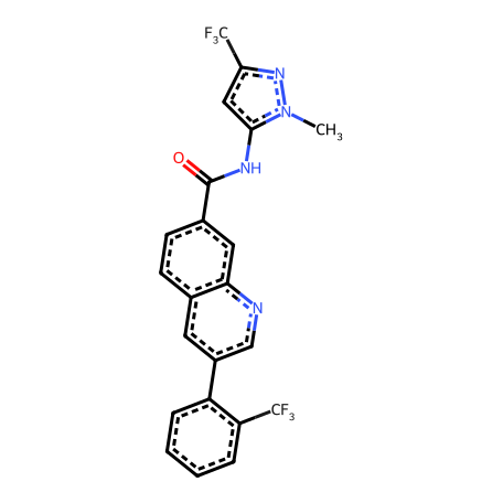 Cn1nc(C(F)(F)F)cc1NC(=O)c1ccc2cc(-c3ccccc3C(F)(F)F)cnc2c1